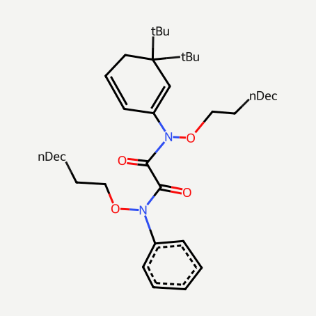 CCCCCCCCCCCCON(C(=O)C(=O)N(OCCCCCCCCCCCC)c1ccccc1)C1=CC(C(C)(C)C)(C(C)(C)C)CC=C1